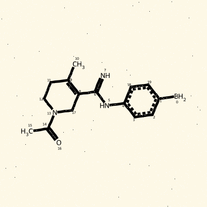 Bc1ccc(NC(=N)C2=C(C)CCN(C(C)=O)C2)cc1